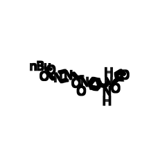 CCCCOC(=O)CN1CCN(CC2CN(c3ccc(C(=N)NC(=O)c4ccoc4)cc3)C(=O)O2)CC1